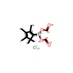 CC1=C(C)C(C)(C)[C]([Ti+]([O]C=O)[O]C=O)=C1C.[Cl-]